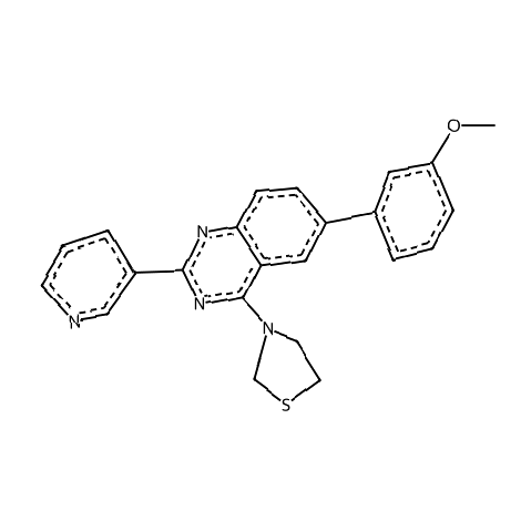 COc1cccc(-c2ccc3nc(-c4cccnc4)nc(N4CCSC4)c3c2)c1